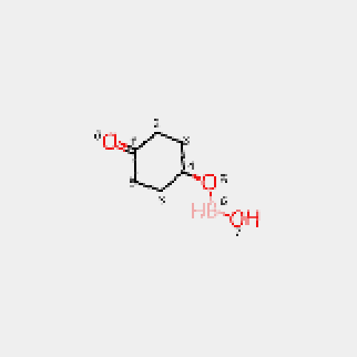 O=C1CCC(OBO)CC1